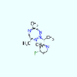 Cc1cnn(C(C)c2cc(F)ccn2)n(C)c(C)cn1